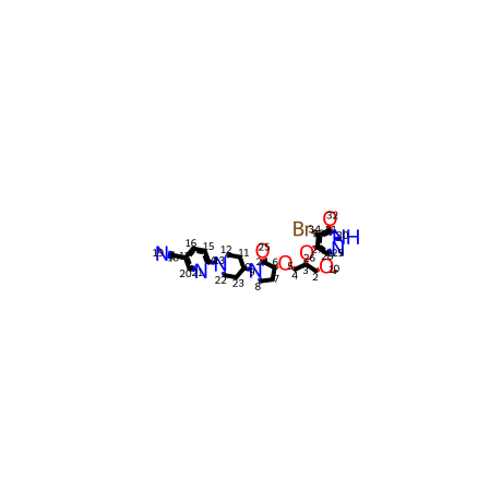 COCC(COC1CCN(C2CCN(c3ccc(C#N)cn3)CC2)C1=O)Oc1cn[nH]c(=O)c1Br